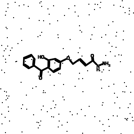 NNC(=O)C=CCOc1ccc(C(=O)c2ccccc2)c(O)c1